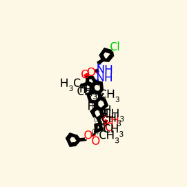 CC(C)C1=C2[C@H]3CC[C@@H]4[C@]5(C)CC[C@H]([C@@]6(C(=O)O)C[C@@H](C(=O)OCc7ccccc7)C6(C)C)C(C)(C)[C@H]5CC[C@@]4(C)[C@]3(C)CC[C@@]2(NC(=O)NCc2ccc(Cl)cc2)CC1=O